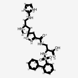 O=C(NCC(NS(=O)(=O)c1ccccc1-c1ccccc1)C(=O)O)C1=NO[C@]2(CNC(CNc3ncc[nH]3)C2)C1